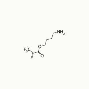 C=C(C(=O)OCCCCN)C(F)(F)F